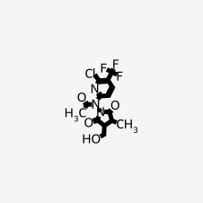 CC(=O)N(c1ccc(C(F)(F)F)c(Cl)n1)N1C(=O)C(C)C(CO)C1=O